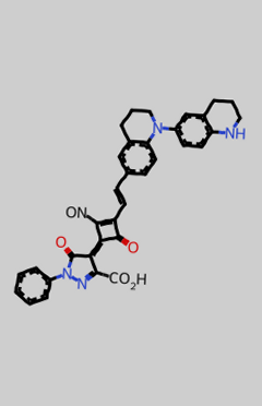 O=NC1=C(/C=C/c2ccc3c(c2)CCCN3c2ccc3c(c2)CCCN3)C(=O)/C1=C1/C(=O)N(c2ccccc2)N=C1C(=O)O